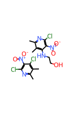 Cc1nc(Cl)c([N+](=O)[O-])c(Cl)c1C.Cc1nc(Cl)c([N+](=O)[O-])c(NCCO)c1C